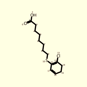 O=C(O)CCCCCCCSC1=C(Cl)CCC=C1